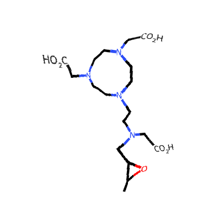 CC1OC1CN(CCN1CCN(CC(=O)O)CCN(CC(=O)O)CC1)CC(=O)O